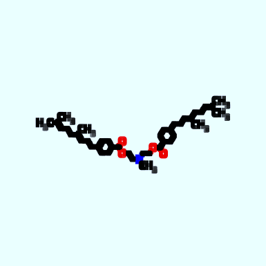 CC(C)=CCC/C(C)=C/CCC1=CCC(C(=O)OCCN(C)CCOC(=O)C2CCC(CC/C=C(\C)CCC=C(C)C)CC2)CC1